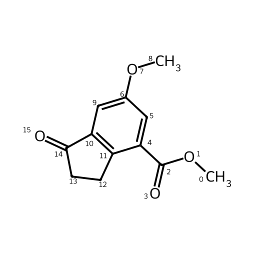 COC(=O)c1cc(OC)cc2c1CCC2=O